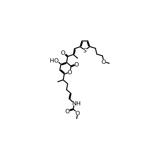 COCCCc1ccc(/C=C(\C)C(=O)c2c(O)cc(C(C)CC/C=C/NC(=O)OC)oc2=O)s1